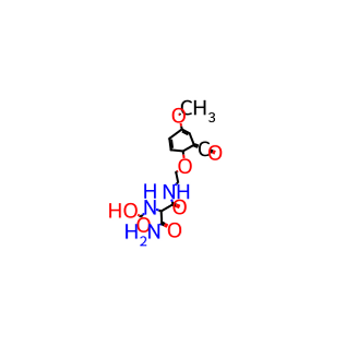 COC1=CC(=C=O)C(OCCNC(=O)C(NC(=O)O)C(N)=O)C=C1